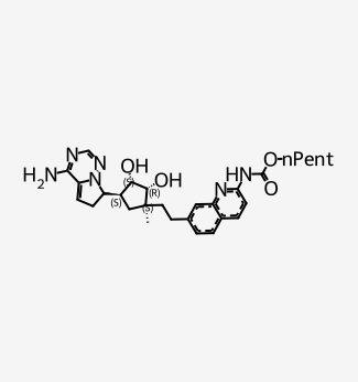 CCCCCOC(=O)Nc1ccc2ccc(CC[C@@]3(C)C[C@@H](C4CC=C5C(N)=NC=NN54)[C@H](O)[C@@H]3O)cc2n1